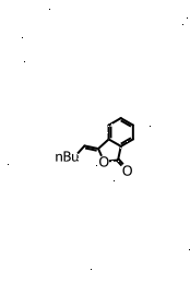 CCCCC=C1OC(=O)c2ccccc21